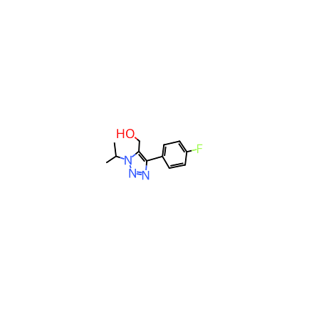 CC(C)n1nnc(-c2ccc(F)cc2)c1CO